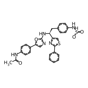 CC(=O)Nc1ccc(-c2cnc(N[C@@H](Cc3ccc(N[SH](=O)=O)cc3)c3csc(-c4ccccc4)n3)o2)cc1